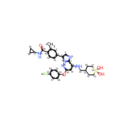 Cc1cc(-c2cnc3c(NCC4CCS(O)(O)CC4)cc(Oc4ccc(F)cc4)nn23)ccc1C(=O)NC1CC1